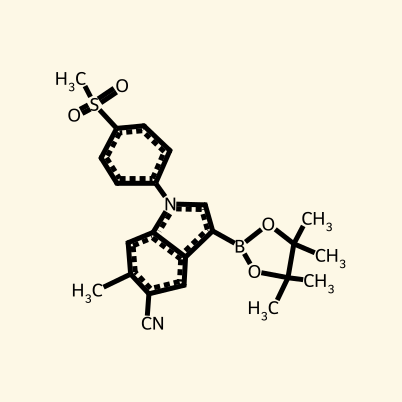 Cc1cc2c(cc1C#N)c(B1OC(C)(C)C(C)(C)O1)cn2-c1ccc(S(C)(=O)=O)cc1